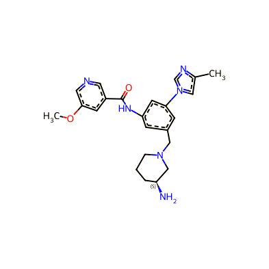 COc1cncc(C(=O)Nc2cc(CN3CCC[C@H](N)C3)cc(-n3cnc(C)c3)c2)c1